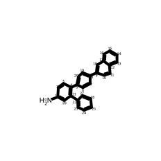 Nc1ccc(-c2ccc(-c3ccc4ccccc4c3)cc2)c(-c2ccccc2)c1